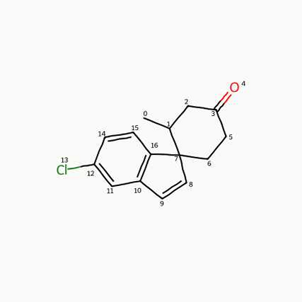 CC1CC(=O)CCC12C=Cc1cc(Cl)ccc12